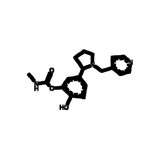 CNC(=O)Oc1cc(C2CCCN2Cc2ccncc2)ccc1O